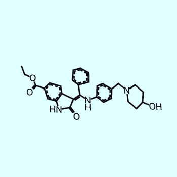 CCOC(=O)c1ccc2c(c1)NC(=O)/C2=C(\Nc1ccc(CN2CCC(O)CC2)cc1)c1ccccc1